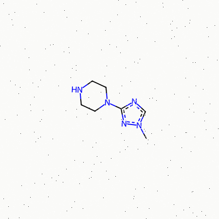 Cn1cnc(N2CCNCC2)n1